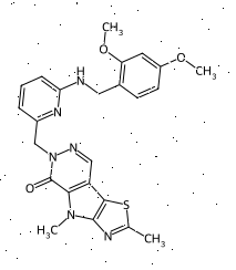 COc1ccc(CNc2cccc(Cn3ncc4c5sc(C)nc5n(C)c4c3=O)n2)c(OC)c1